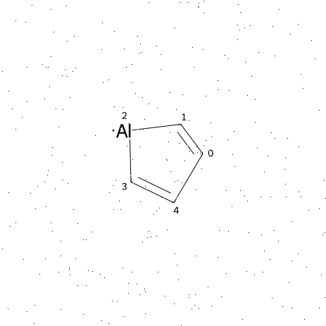 C1=[CH][Al][CH]=C1